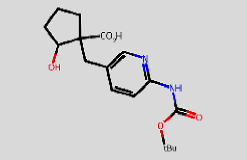 CC(C)(C)OC(=O)Nc1ccc(CC2(C(=O)O)CCCC2O)cn1